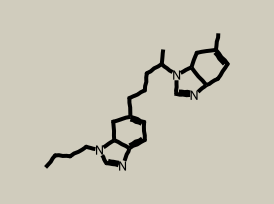 CCCCN1C=NC2=CC=C(CCCC(C)N3C=NC4CC=C(C)CC43)CC21